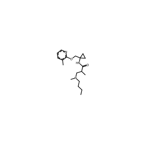 CCCCN(C)CC(C)C(=O)NC1(COc2ncccc2C)CC1